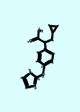 O=C(O)C(CC1CC1)c1ccc(Oc2nccs2)cc1